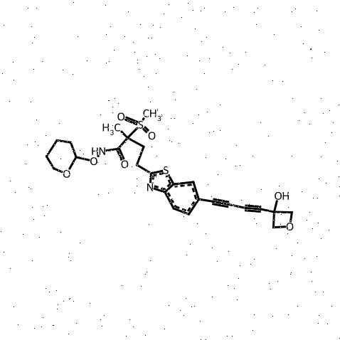 CC(CCc1nc2ccc(C#CC#CC3(O)COC3)cc2s1)(C(=O)NOC1CCCCO1)S(C)(=O)=O